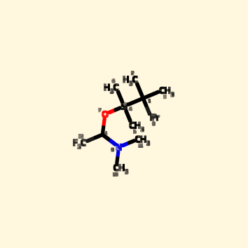 CC(C)C(C)(C)[Si](C)(C)OC(N(C)C)C(F)(F)F